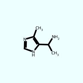 Cc1nc[nH]c1C(C)N